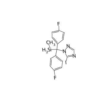 C[SiH2]C(c1ccc(F)cc1)(c1ccc(F)cc1)n1ncnc1I